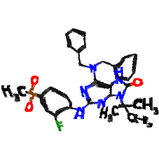 CC(C)(C)n1c(=O)[nH]c2c(N(Cc3ccccc3)Cc3ccccc3)nc(Nc3ccc(S(C)(=O)=O)cc3F)nc21